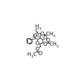 CC(=O)OCC1O[C@@H](Sc2ccccc2)C(OC(C)=O)C(OC(C)=O)[C@@H]1OC(C)=O